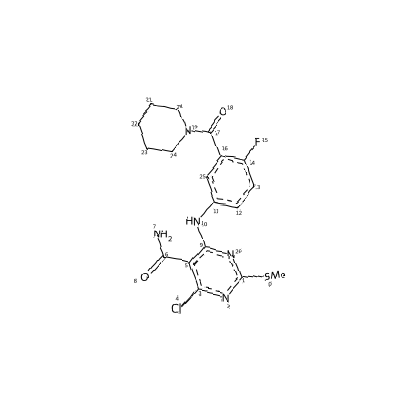 CSc1nc(Cl)c(C(N)=O)c(Nc2ccc(F)c(C(=O)N3CCCCC3)c2)n1